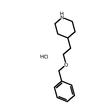 Cl.c1ccc(COCCC2CCNCC2)cc1